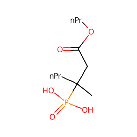 CCCOC(=O)CC(C)(CCC)P(=O)(O)O